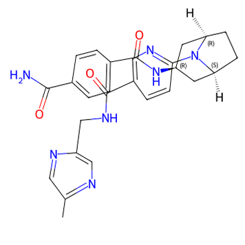 Cc1cnc(CNC(=O)c2ccc(N3[C@@H]4CC[C@H]3C[C@@H](NC(=O)c3ccc(C(N)=O)cc3)C4)nc2)cn1